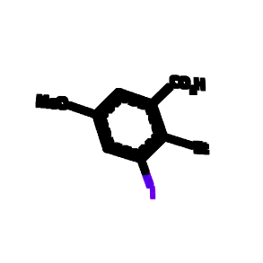 CCc1c(I)cc(OC)cc1C(=O)O